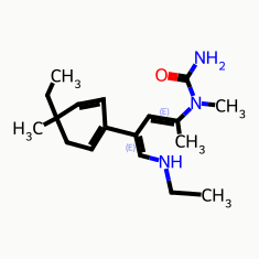 CCN/C=C(\C=C(/C)N(C)C(N)=O)C1=CCC(C)(CC)C=C1